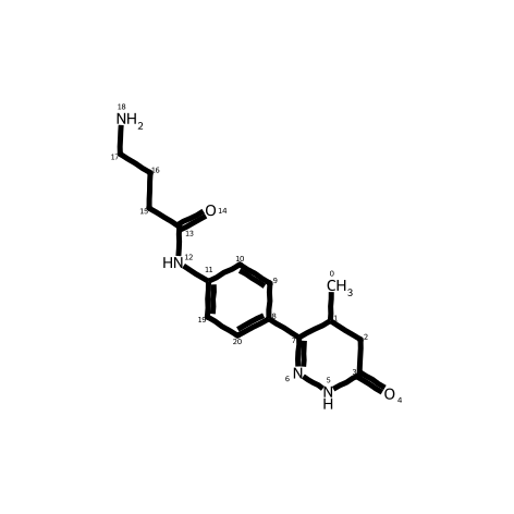 CC1CC(=O)NN=C1c1ccc(NC(=O)CCCN)cc1